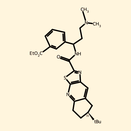 CCOC(=O)c1cccc(C(CCN(C)C)NC(=O)c2nc3cc4c(nc3s2)CC[C@H](C(C)(C)C)C4)c1